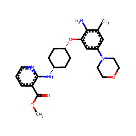 COC(=O)c1cccnc1N[C@H]1CC[C@@H](Oc2cc(N3CCOCC3)cc(C)c2N)CC1